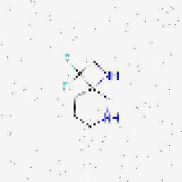 FC1(F)CNC12CCCNC2